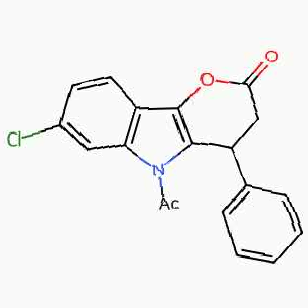 CC(=O)n1c2c(c3ccc(Cl)cc31)OC(=O)CC2c1ccccc1